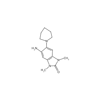 Cn1c(=O)n(C)c2cc(N3CCCCC3)c(N)cc21